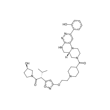 CC(C)[C@@H](C(=O)N1CC[C@@H](O)C1)c1cc(OCCN2CCC(C(=O)N3CCN4c5cc(-c6ccccc6O)nnc5NC[C@H]4C3)CC2)no1